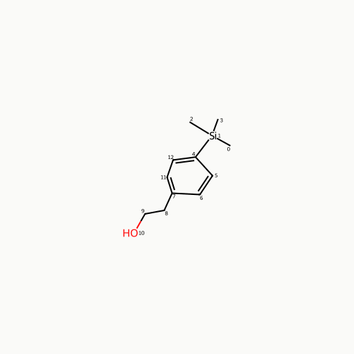 C[Si](C)(C)c1ccc(CCO)cc1